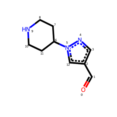 O=Cc1cnn(C2CCNCC2)c1